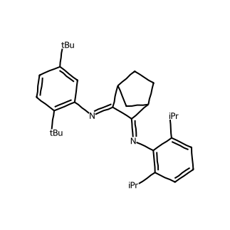 CC(C)c1cccc(C(C)C)c1N=C1C(=Nc2cc(C(C)(C)C)ccc2C(C)(C)C)C2CCC1C2